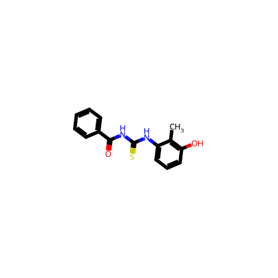 Cc1c(O)cccc1NC(=S)NC(=O)c1ccccc1